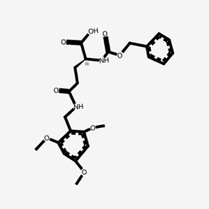 COc1cc(OC)c(CNC(=O)CC[C@H](NC(=O)OCc2ccccc2)C(=O)O)c(OC)c1